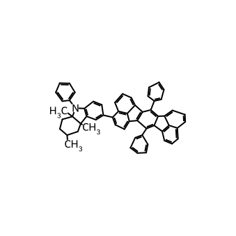 CC1CCC2(C)N(c3ccccc3)c3ccc(-c4ccc5c6c(-c7ccccc7)c7c8cccc9cccc(c7c(-c7ccccc7)c6c6cccc4c65)c98)cc3C2(C)C1